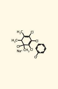 CC1=C(Cl)C(Cl)=C(Cl)C(C)(Cl)C1C.[Na+].[O-]c1ccccc1